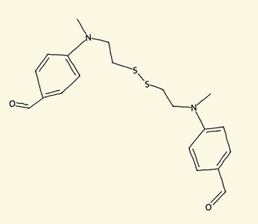 CN(CCSSCCN(C)c1ccc(C=O)cc1)c1ccc(C=O)cc1